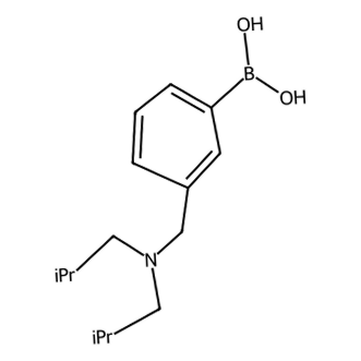 CC(C)CN(Cc1cccc(B(O)O)c1)CC(C)C